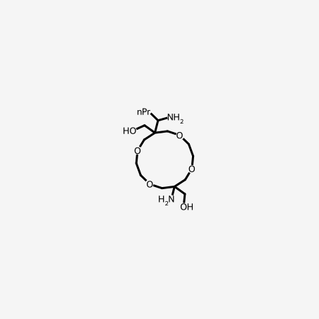 CCCC(N)C1(CO)COCCOCC(N)(CO)COCCOC1